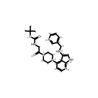 CC(C)(C)OC(=O)NCC(=O)N1CCN(c2ccnc3[nH]cc(NCc4cccnc4)c23)CC1